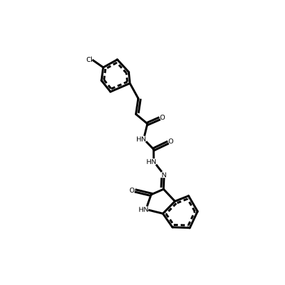 O=C(/C=C/c1ccc(Cl)cc1)NC(=O)N/N=C1\C(=O)Nc2ccccc21